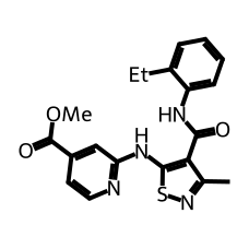 CCc1ccccc1NC(=O)c1c(C)nsc1Nc1cc(C(=O)OC)ccn1